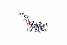 C=C(/C=C(\C)[S+]([O-])Nc1ccc(CCC)cc1)C(=C)N(C)CCN(C)/C(C)=C(/C)Br